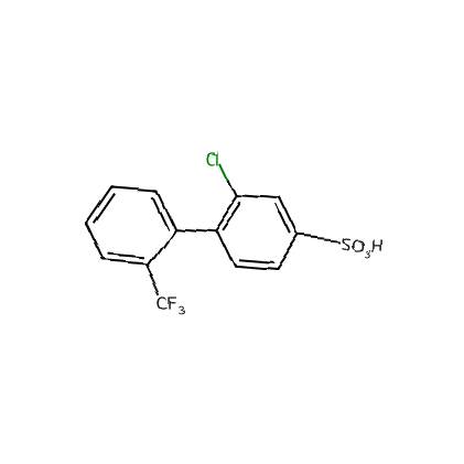 O=S(=O)(O)c1ccc(-c2ccccc2C(F)(F)F)c(Cl)c1